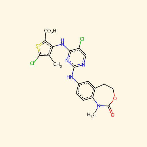 Cc1c(Cl)sc(C(=O)O)c1Nc1nc(Nc2ccc3c(c2)CCOC(=O)N3C)ncc1Cl